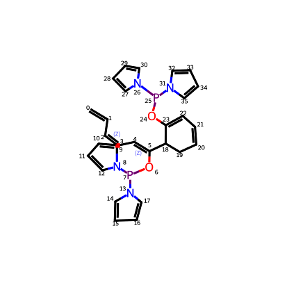 C=C/C=C\C=C(/OP(n1cccc1)n1cccc1)C1CC=CC=C1OP(n1cccc1)n1cccc1